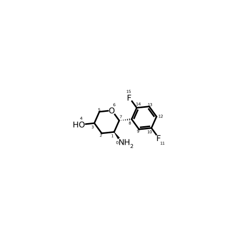 N[C@H]1CC(O)CO[C@@H]1c1cc(F)ccc1F